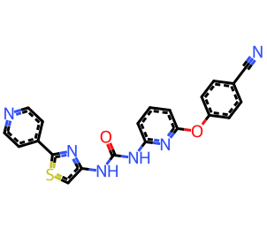 N#Cc1ccc(Oc2cccc(NC(=O)Nc3csc(-c4ccncc4)n3)n2)cc1